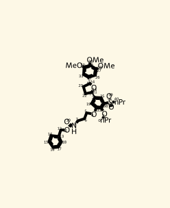 CCCOc1c(OCCCNC(=O)OCc2ccccc2)cc([C@H]2CC[C@H](c3cc(OC)c(OC)c(OC)c3)O2)cc1S(=O)(=O)CCC